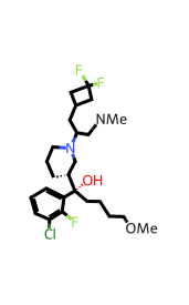 CNCC(CC1CC(F)(F)C1)N1CCC[C@@H]([C@@](O)(CCCCOC)c2cccc(Cl)c2F)C1